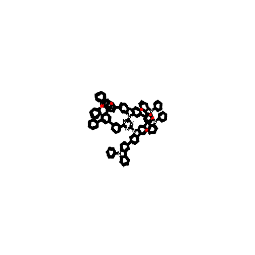 c1ccc(-c2cc(-c3ccccc3)cc(-c3cccc(-c4nc(-n5c6cc(-c7ccc8c(c7)c7ccccc7n8-c7ccccc7)ccc6c6ccc(-c7ccc8c(c7)c7ccccc7n8-c7ccccc7)cc65)nc(-n5c6cc(-c7ccc8c(c7)c7ccccc7n8-c7ccccc7)ccc6c6ccc(-c7ccc8c(c7)c7ccccc7n8-c7ccccc7)cc65)n4)c3)c2)cc1